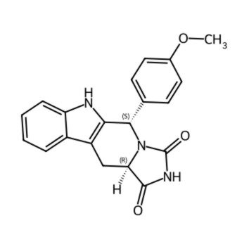 COc1ccc([C@H]2c3[nH]c4ccccc4c3C[C@@H]3C(=O)NC(=O)N23)cc1